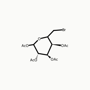 CC(=O)OC1OC(CBr)[C@@H](OC(C)=O)[C@@H](OC(C)=O)[C@@H]1OC(C)=O